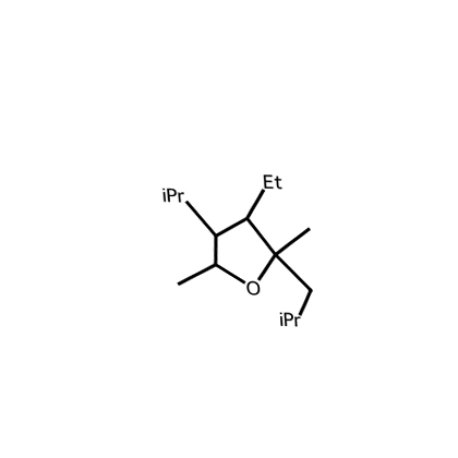 CCC1C(C(C)C)C(C)OC1(C)CC(C)C